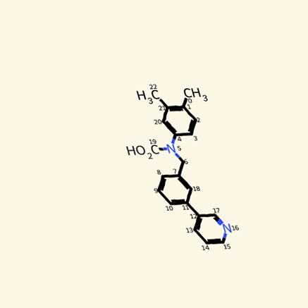 Cc1ccc(N(Cc2cccc(-c3cccnc3)c2)C(=O)O)cc1C